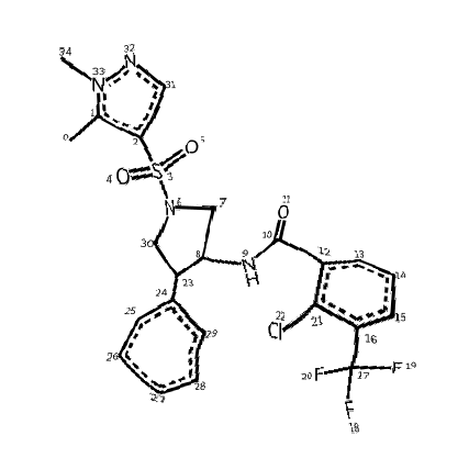 Cc1c(S(=O)(=O)N2CC(NC(=O)c3cccc(C(F)(F)F)c3Cl)C(c3ccccc3)C2)cnn1C